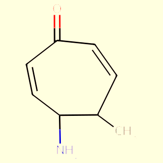 CC1C=CC(=O)C=CC1N